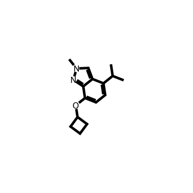 CC(C)c1ccc(OC2CCC2)c2nn(C)cc12